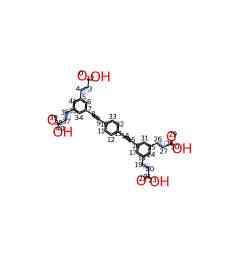 O=C(O)/C=C/c1cc(C#Cc2ccc(C#Cc3cc(/C=C/C(=O)O)cc(/C=C/C(=O)O)c3)cc2)cc(/C=C/C(=O)O)c1